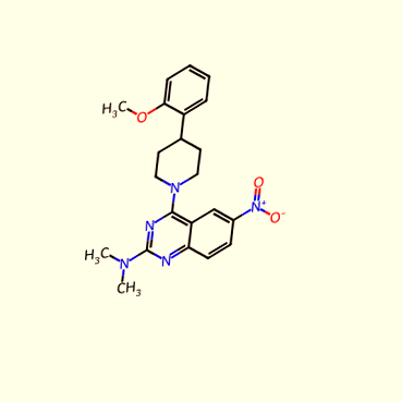 COc1ccccc1C1CCN(c2nc(N(C)C)nc3ccc([N+](=O)[O-])cc23)CC1